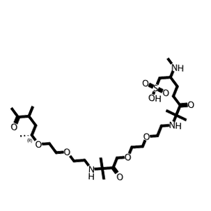 CNC(CCC(=O)C(C)(C)NCCOCCOCC(=O)C(C)(C)NCCOCCO[C@H](C)CC(C)C(C)=O)CS(=O)(=O)O